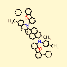 Cc1ccc(N(c2ccc3ccc4c(N(c5ccc(C)cc5C)c5cccc6c5oc5c(C7CCCCC7)cccc56)ccc5ccc2c3c54)c2cccc3c2oc2c(C4CCCCC4)cccc23)c(C)c1